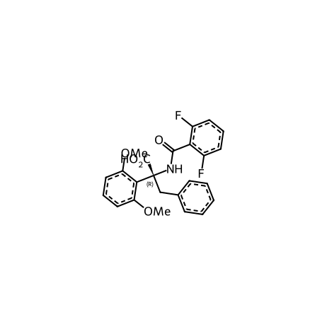 COc1cccc(OC)c1[C@@](Cc1ccccc1)(NC(=O)c1c(F)cccc1F)C(=O)O